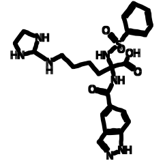 O=C(NC(CCCCNC1NCCN1)(NS(=O)(=O)c1ccccc1)C(=O)O)c1ccc2[nH]ncc2c1